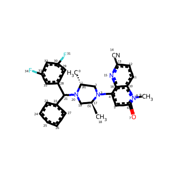 C[C@@H]1CN(c2cc(=O)n(C)c3ccc(C#N)nc23)[C@@H](C)CN1C(c1ccccc1)c1cc(F)cc(F)c1